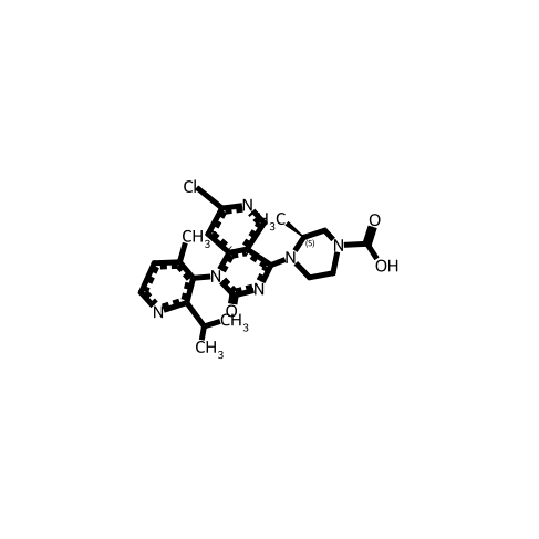 Cc1ccnc(C(C)C)c1-n1c(=O)nc(N2CCN(C(=O)O)C[C@@H]2C)c2cnc(Cl)cc21